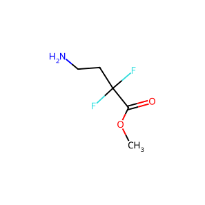 COC(=O)C(F)(F)CCN